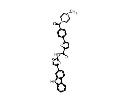 CN1CCN(C(=O)c2ccc(-c3ccc(C(=O)Nc4nc(-c5ccc6c(c5)[nH]c5ccccc56)cs4)o3)cc2)CC1